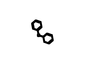 C1=CC[C](Oc2ccccc2)C=C1